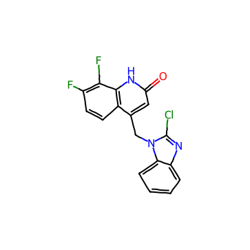 O=c1cc(Cn2c(Cl)nc3ccccc32)c2ccc(F)c(F)c2[nH]1